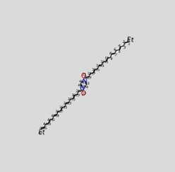 CCC=CCC=CCC=CCC=CCC=CCC=CCCC(=O)N1CCN(C(=O)CCC=CCC=CCC=CCC=CCC=CCC=CCC)CC1